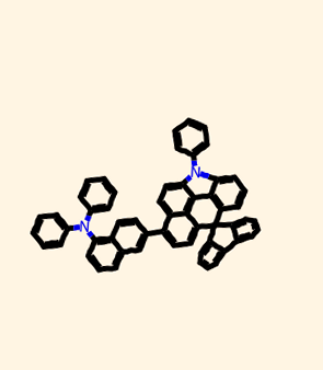 c1ccc(N(c2ccccc2)c2cccc3cc(-c4ccc5c6c4ccc4c6c6c(cccc6n4-c4ccccc4)C54c5ccccc5-c5ccccc54)ccc23)cc1